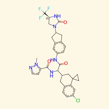 Cn1nccc1C(=O)NC(C(=O)Nc1ccc2c(c1)CC(N1C[C@@H](C(F)(F)F)NC1=O)C2)C1Cc2ccc(Cl)cc2C2(CC2)C1